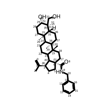 C=C(C)[C@@H]1CC[C@]2(C(=O)NCc3ccccc3)CC[C@]3(C)C(CCC4[C@@]5(C)CC[C@H](O)[C@@](C)(CO)[C@@H]5CC[C@]43C)C12